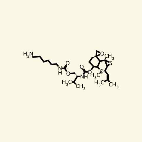 COC1C(OC(=O)N[C@@H](COC(=O)NCCCCCCN)C(C)C)CC[C@]2(CO2)C1[C@]1(C)SC1CC=C(C)C